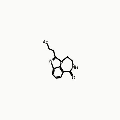 CC(=O)CCc1nc2cccc3c2n1CCNC3=O